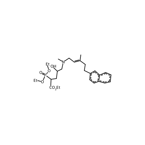 CCOC(=O)C(CC(O)CN(C)CC=C(C)CCc1ccc2ccccc2c1)P(=O)(OCC)OCC